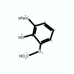 CCCCCc1cccc(OC(=O)O)c1O